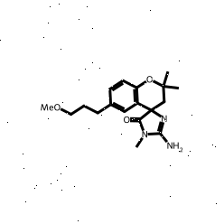 COCCCc1ccc2c(c1)C1(CC(C)(C)O2)N=C(N)N(C)C1=O